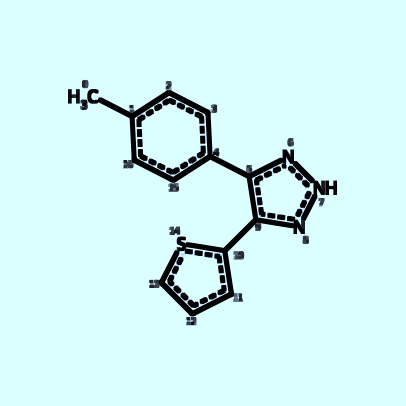 Cc1ccc(-c2n[nH]nc2-c2cccs2)cc1